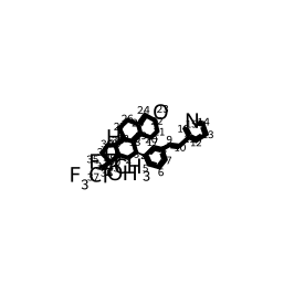 C[C@]12C[C@H](c3cccc(C=Cc4cccnc4)c3)C3=C4CCC(=O)C=C4CC[C@H]3[C@@H]1CC[C@@]2(O)C(F)(F)C(F)(F)F